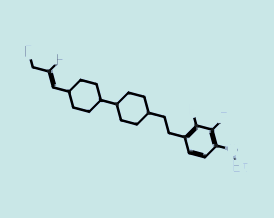 CCOc1ccc(CCC2CCC(C3CCC(/C=C(\F)CF)CC3)CC2)c(F)c1F